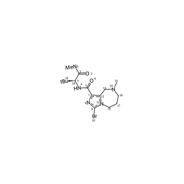 CNC(=O)[C@@H](NC(=O)c1nc(Br)n2c1CN(C)CCC2)C(C)(C)C